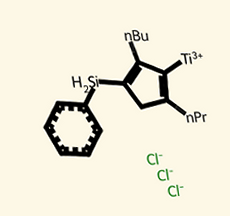 CCCCC1=C([SiH2]c2ccccc2)CC(CCC)=[C]1[Ti+3].[Cl-].[Cl-].[Cl-]